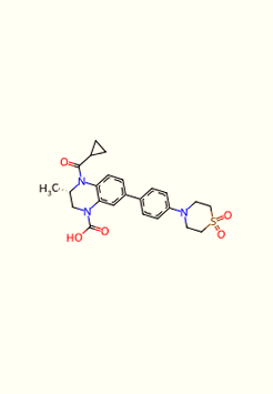 C[C@H]1CN(C(=O)O)c2cc(-c3ccc(N4CCS(=O)(=O)CC4)cc3)ccc2N1C(=O)C1CC1